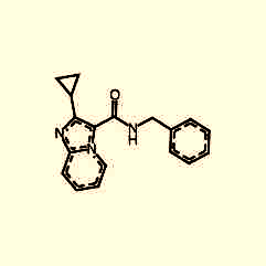 O=C(NCc1ccccc1)c1c(C2CC2)nc2ccccn12